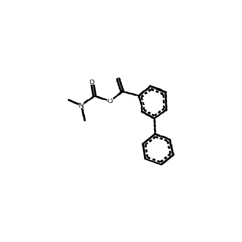 C=C(OC(=O)N(C)C)c1cccc(-c2ccccc2)c1